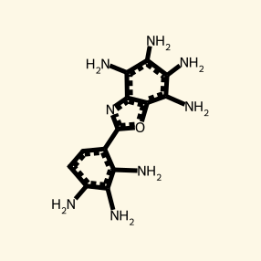 Nc1ccc(-c2nc3c(N)c(N)c(N)c(N)c3o2)c(N)c1N